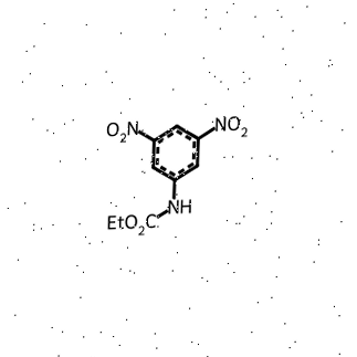 CCOC(=O)Nc1cc([N+](=O)[O-])cc([N+](=O)[O-])c1